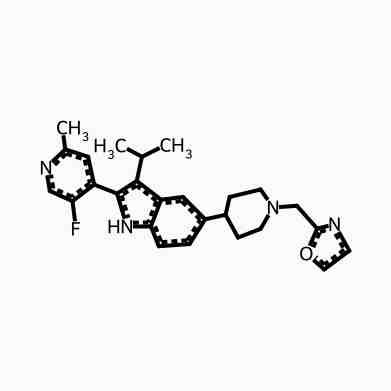 Cc1cc(-c2[nH]c3ccc(C4CCN(Cc5ncco5)CC4)cc3c2C(C)C)c(F)cn1